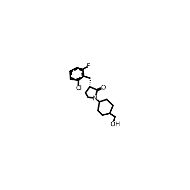 O=C1[C@@H](Cc2c(F)cccc2Cl)CCN1C1CCC(CO)CC1